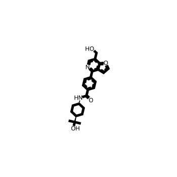 CC(C)(O)[C@H]1CC[C@H](NC(=O)c2ccc(-c3ncc(CO)c4occc34)cc2)CC1